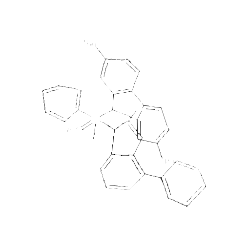 CC1=Cc2c(-c3ccccc3)cccc2[CH]1[Zr]([CH3])(=[SiH2])([c]1ccccc1)[CH]1c2cc(C(C)(C)C)ccc2-c2ccc(C(C)(C)C)cc21